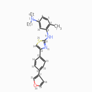 CCN(CC)c1ccc(C)c(Nc2nc(-c3ccc(-c4ccoc4)cc3)cs2)c1